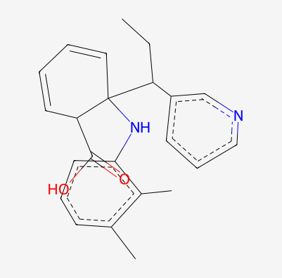 CCC(c1cccnc1)C1(Nc2cccc(C)c2C)C=CC=CC1C(=O)O